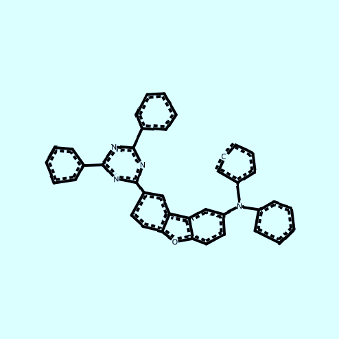 c1ccc(-c2nc(-c3ccccc3)nc(-c3ccc4oc5ccc(N(c6ccccc6)c6ccccc6)cc5c4c3)n2)cc1